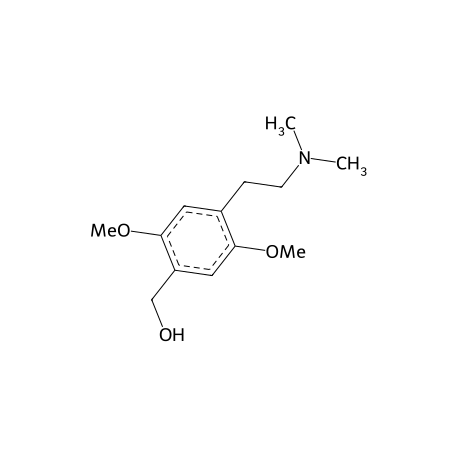 COc1cc(CCN(C)C)c(OC)cc1CO